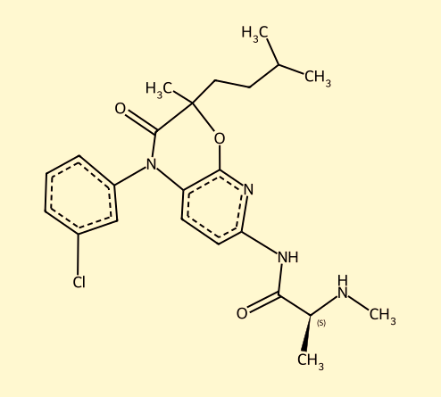 CN[C@@H](C)C(=O)Nc1ccc2c(n1)OC(C)(CCC(C)C)C(=O)N2c1cccc(Cl)c1